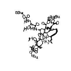 CN(C(=O)OC(C)(C)C)[C@@H]1[C@@H](O)[C@@H](O[C@@H]2[C@@H](O)[C@H](C3OC(CN)=CC[C@H]3NC(=O)OC(C)(C)C)[C@@H](NC(=O)OC(C)(C)C)C[C@H]2NC(=O)[C@@H](O)CNC(=O)OC(C)(C)C)OC[C@]1(C)O